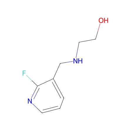 OCCNCc1cccnc1F